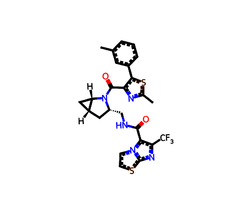 Cc1cccc(-c2sc(C)nc2C(=O)N2[C@H](CNC(=O)c3c(C(F)(F)F)nc4sccn34)C[C@@H]3C[C@@H]32)c1